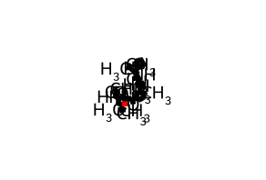 COc1c(NC(=O)c2ccc(C)c(-n3cc(C(=O)N[C@H](CN(C)C)c4ccccc4)nn3)c2)cc(C(C)(C)C)cc1NS(C)(=O)=O